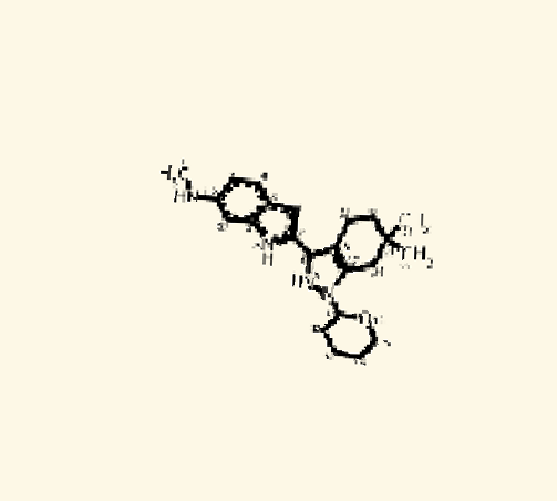 CNc1ccc2cc(C3NN(C4CCCCO4)C4=C3CCC(C)(C)C4)[nH]c2c1